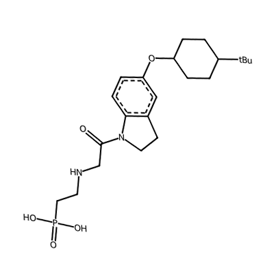 CC(C)(C)C1CCC(Oc2ccc3c(c2)CCN3C(=O)CNCCP(=O)(O)O)CC1